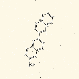 O=S(=O)(O)c1ccc2cc(-c3ccc4ccccc4c3)ccc2c1